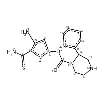 NC(=O)c1nn(OC(=O)N2CCNCC2c2ccccn2)cc1N